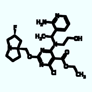 CCOC(=O)c1c(Cl)nc(OC[C@@]23CCCN2C[C@H](F)C3)nc1N(CCO)C(C)c1cccnc1N